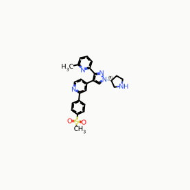 Cc1cccc(-c2nn([C@@H]3CCNC3)cc2-c2ccnc(-c3ccc(S(C)(=O)=O)cc3)c2)n1